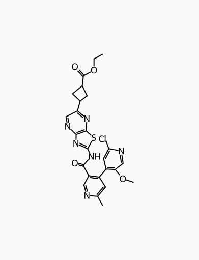 CCOC(=O)C1CC(c2cnc3nc(NC(=O)c4cnc(C)cc4-c4cc(Cl)ncc4OC)sc3n2)C1